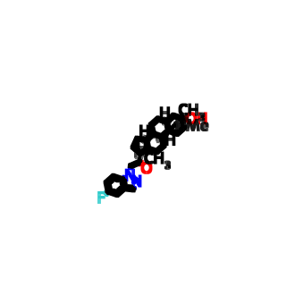 COC[C@]12CC[C@@](C)(O)C[C@H]1CC[C@H]1[C@@H]3CC[C@H](C(=O)Cn4ncc5cc(F)ccc54)[C@@]3(C)CC[C@@H]12